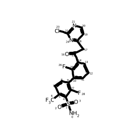 NS(=O)(=O)c1c(C(F)(F)F)ccc(-c2cccc(C(=O)Cc3ccnc(Cl)n3)c2F)c1F